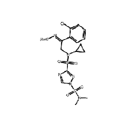 CO/N=C(\CN(C1CC1)S(=O)(=O)c1ncn(S(=O)(=O)N(C)C)n1)c1ccccc1Cl